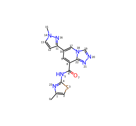 Cc1csc(NC(=O)c2cc(-c3ccn(C)n3)cn3cnnc23)n1